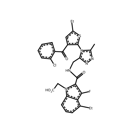 CCc1cc(C(=O)c2ccccc2Cl)c(-n2c(C)nnc2CNC(=O)c2c(F)c3c(CC)cccc3n2CC(=O)O)s1